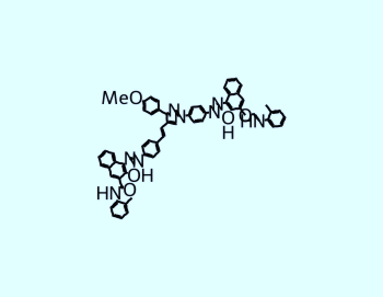 COc1ccc(-c2nn(-c3ccc(N=Nc4c(O)c(OCNc5ccccc5C)cc5ccccc45)cc3)cc2C=Cc2ccc(N=Nc3c(O)c(C(=O)Nc4ccccc4C)cc4ccccc34)cc2)cc1